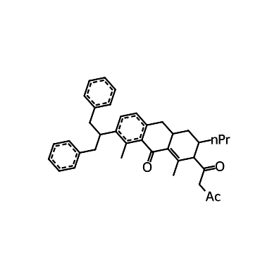 CCCC1CC2Cc3ccc(C(Cc4ccccc4)Cc4ccccc4)c(C)c3C(=O)C2=C(C)C1C(=O)CC(C)=O